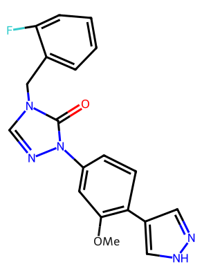 COc1cc(-n2ncn(Cc3ccccc3F)c2=O)ccc1-c1cn[nH]c1